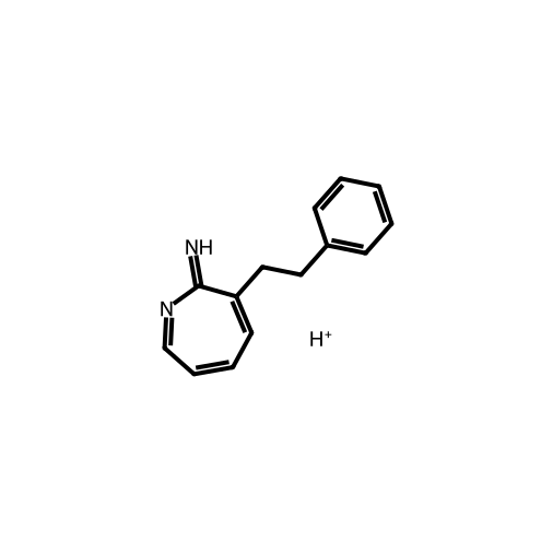 N=c1nccccc1CCc1ccccc1.[H+]